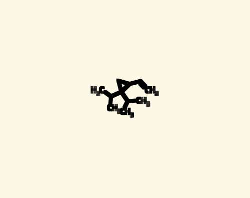 C=CC1CC1(C(C)C)C(C)C